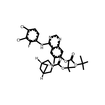 CC(C)(C)OC(=O)Oc1cc2ncnc(Nc3ccc(Cl)c(Cl)c3F)c2cc1O[C@H]1[C@@H]2C[C@H]1CN(C(=O)OC(C)(C)C)C2